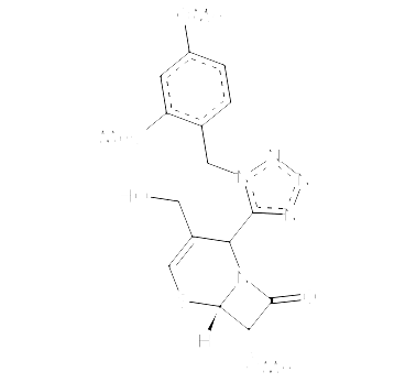 COc1ccc(Cn2nnnc2C2C(CO)=CS[C@H]3[C@@H](OC)C(=O)N23)c(OC)c1